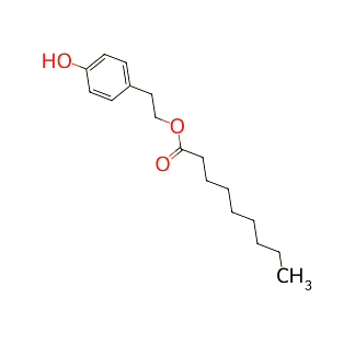 CCCCCCCCC(=O)OCCc1ccc(O)cc1